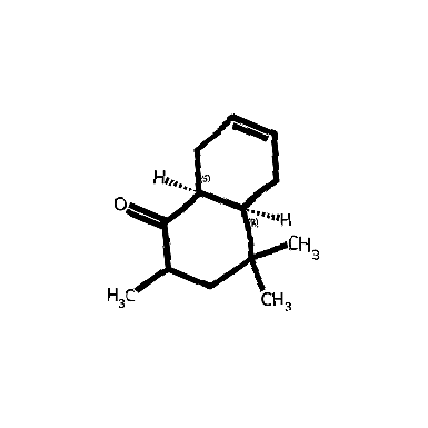 CC1CC(C)(C)[C@@H]2CC=CC[C@@H]2C1=O